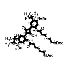 CCCCCCCCCCCCSCCC(=O)NC1=CC(=N\C(C)CC)/C(C(C)(C)CC)=CC/1=C1\C(=O)C(c2cc3c(cc2NC(=O)CCSCCCCCCCCCCCC)N(C(C)CC)C(C)C3(C)C)=C1O